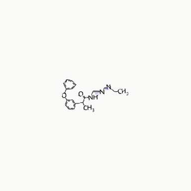 CC/N=C\N=C\NC(=O)C(C)c1cccc(Oc2ccccc2)c1